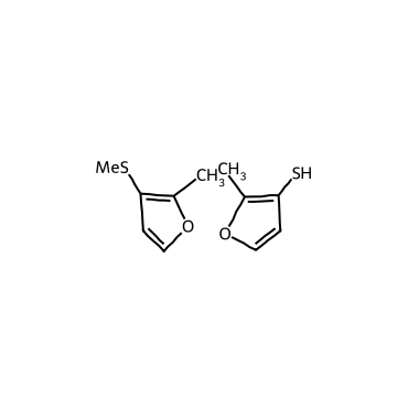 CSc1ccoc1C.Cc1occc1S